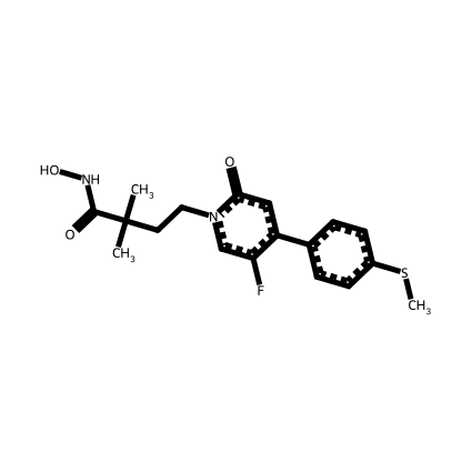 CSc1ccc(-c2cc(=O)n(CCC(C)(C)C(=O)NO)cc2F)cc1